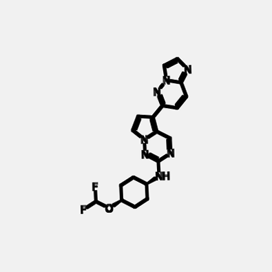 FC(F)O[C@H]1CC[C@@H](Nc2ncc3c(-c4ccc5nccn5n4)ccn3n2)CC1